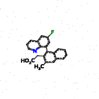 Cc1cc2ccccc2c(-c2cc(F)cc3cccnc23)c1CC(=O)O